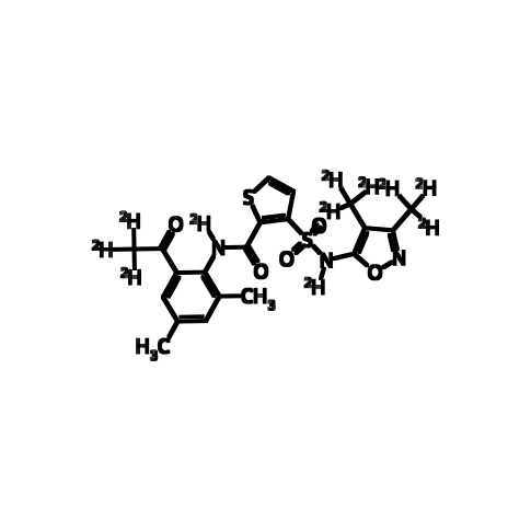 [2H]N(C(=O)c1sccc1S(=O)(=O)N([2H])c1onc(C([2H])([2H])[2H])c1C([2H])([2H])[2H])c1c(C)cc(C)cc1C(=O)C([2H])([2H])[2H]